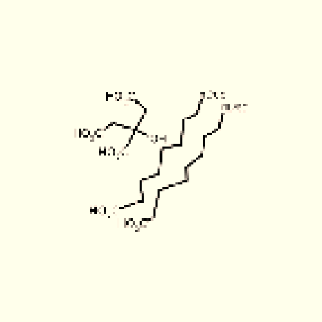 CCCCCCCCCCCCCCCCCC(=O)O.CCCCCCCCCCCCCCCCCC(=O)O.O=C(O)CC(O)(CC(=O)O)C(=O)O